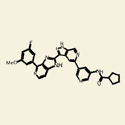 COc1cc(F)cc(-c2nccc3[nH]c(-c4n[nH]c5cnc(-c6cncc(NC(=O)C7CCCC7)c6)cc45)nc23)c1